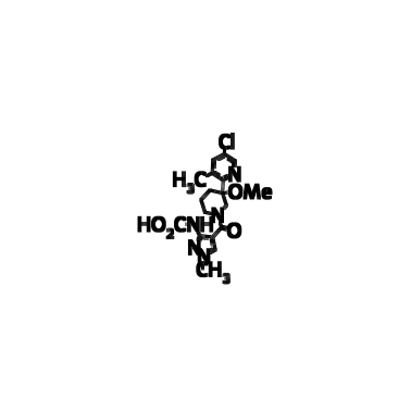 COC1(c2ncc(Cl)cc2C)CCCN(C(=O)c2cn(C)nc2NC(=O)O)C1